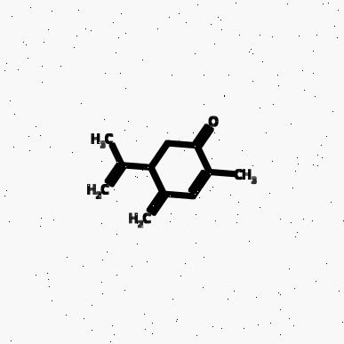 C=C(C)C1CC(=O)C(C)=CC1=C